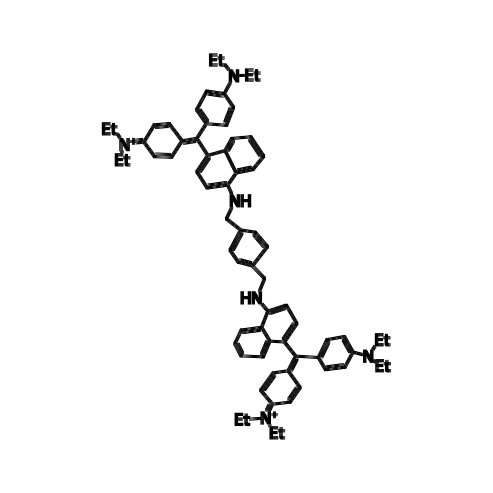 CCN(CC)c1ccc(C(=C2C=CC(=[N+](CC)CC)C=C2)c2ccc(NCc3ccc(CNc4ccc(C(=C5C=CC(=[N+](CC)CC)C=C5)c5ccc(N(CC)CC)cc5)c5ccccc45)cc3)c3ccccc23)cc1